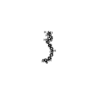 CCN(C)S(=O)(=O)Nc1ccc(F)c(C(=O)c2c[nH]c3ncc(-c4cnc(N5CCC(NC(=O)CN6CCC(c7ccc(NC8CCC(=O)NC8=O)cn7)CC6)CC5)nc4)cc23)c1F